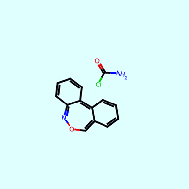 C1=c2ccccc2=c2ccccc2=NO1.NC(=O)Cl